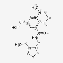 CCN1CCCC1CNC(=O)c1cc(Cl)cc2c1OCCN2C.Cl